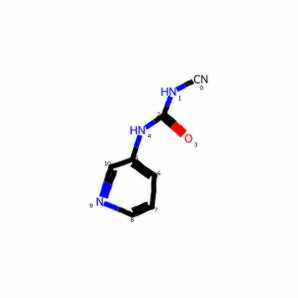 N#CNC(=O)Nc1cccnc1